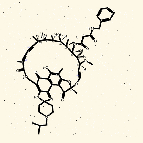 CO[C@H]1/C=C/O[C@@]2(C)Oc3c(C)c(O)c4c(c3C2=O)C2=NC3(CCN(CC(C)I)CC3)NC2=C(NC(=O)/C(C)=C\C=C\[C@H](C)[C@H](O)[C@@H](C)[C@@H](O)[C@@H](C)[C@H](OC(=O)CC(=O)NCc2ccccc2)[C@@H]1C)C4=O